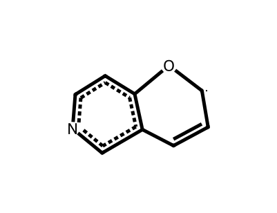 [CH]1C=Cc2cnccc2O1